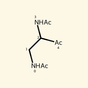 CC(=O)NCC(NC(C)=O)C(C)=O